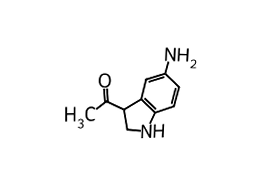 CC(=O)C1CNc2ccc(N)cc21